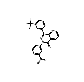 O=c1c2cccnc2c(-c2cccc(C(F)(F)F)c2)nn1-c1cccc([N+](=O)[O-])c1